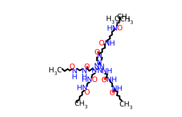 CCCCCCC(=O)NCCCNC(=O)CCNc1nc(N(CCC(=O)NCCCNC(=O)CCCCC)CCC(=O)NCCCNC(=O)CCCCCC)nc(N2CCN(C(=O)CCCC(=O)NCCCCCCNC(=O)/C=C/C(C)(C)C)CC2)n1